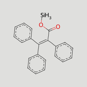 O=C(O[SiH3])C(=C(c1ccccc1)c1ccccc1)c1ccccc1